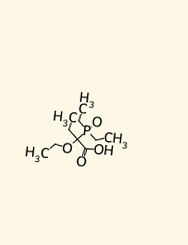 CCOC(CC)(C(=O)O)P(=O)(CC)CC